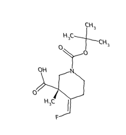 CC(C)(C)OC(=O)N1CC/C(=C/F)[C@](C)(C(=O)O)C1